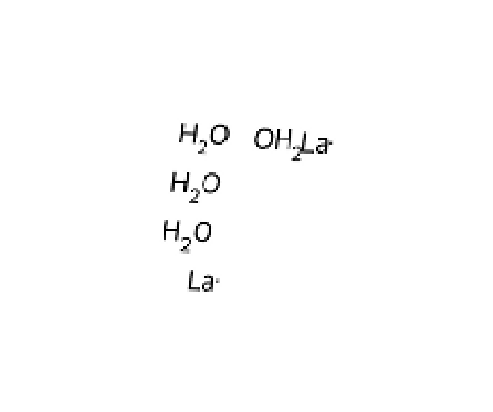 O.O.O.O.[La].[La]